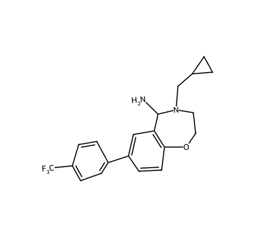 NC1c2cc(-c3ccc(C(F)(F)F)cc3)ccc2OCCN1CC1CC1